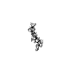 CCOC(=O)c1cc(F)c(N2CCN(C(=O)OC(C)(C)C)CC2)nc1Cl